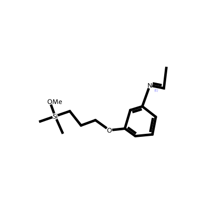 C/C=N/c1cccc(OCCC[Si](C)(C)OC)c1